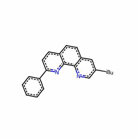 CCC(C)c1cnc2c(ccc3ccc(-c4ccccc4)nc32)c1